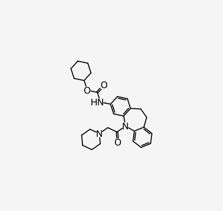 O=C(Nc1ccc2c(c1)N(C(=O)CN1CCCCC1)c1ccccc1CC2)OC1CCCCC1